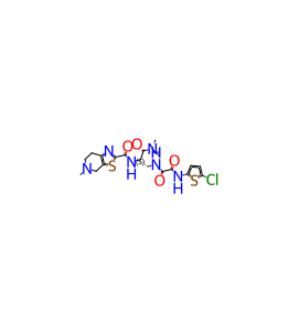 CN1CCc2nc(C(=O)N[C@@H](CNC(=O)C(=O)Nc3ccc(Cl)s3)C(=O)N(C)C)sc2C1